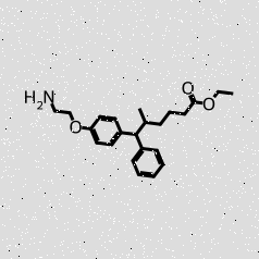 CCOC(=O)CCCC(C)C(c1ccccc1)c1ccc(OCCN)cc1